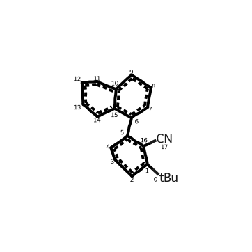 CC(C)(C)c1cccc(-c2cccc3ccccc23)c1C#N